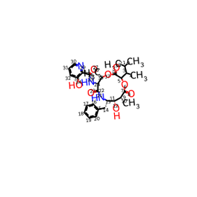 CC(C)C(C)C1OC(=O)[C@H](C)[C@H](O)[C@H](Cc2ccccc2)NC(=O)[C@@H](NC(=O)c2ncccc2O)[C@@H](C)OC1=O